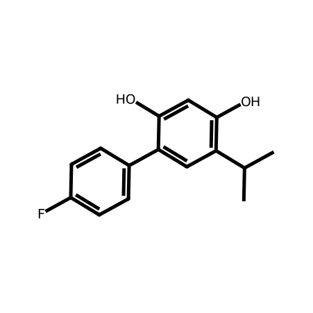 CC(C)c1cc(-c2ccc(F)cc2)c(O)cc1O